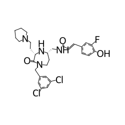 O=C(/C=C/c1ccc(O)c(F)c1)NC[C@@H]1CCN(Cc2cc(Cl)cc(Cl)c2)C(=O)[C@H](CCN2CCCCC2)N1